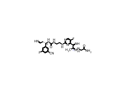 C/C(=N/NCC(N)=O)C(=N)c1nc(NCCNC(=O)N[C@@H](CC=N)c2cc(F)cc(C#N)c2)ncc1F